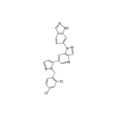 Clc1ccc(Cn2nccc2-c2cnc3cnn(-c4ccc5cn[nH]c5c4)c3c2)c(Cl)c1